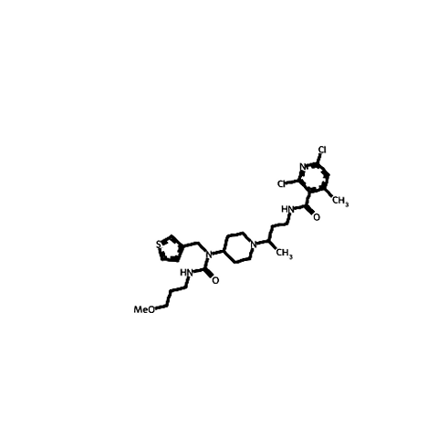 COCCCNC(=O)N(Cc1ccsc1)C1CCN(C(C)CCNC(=O)c2c(C)cc(Cl)nc2Cl)CC1